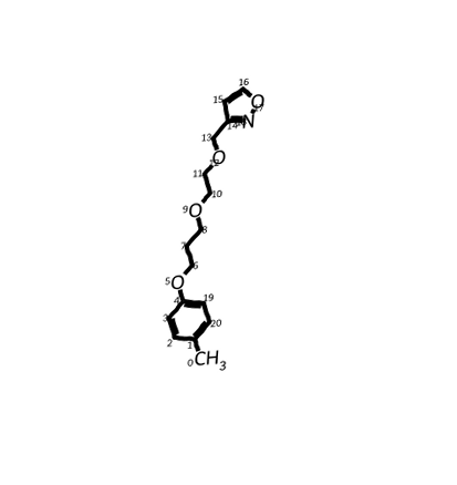 Cc1ccc(OCCCOCCOCc2ccon2)cc1